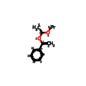 C=C(OC(C)OC(C)C)c1ccccc1